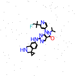 CC(C)n1c(=O)c2cnc(Nc3ccc4c(c3)CNCC43CC3)nc2n1-c1ccnc(C(C)(C)CF)c1